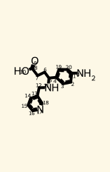 Nc1ccc(C(CCC(=O)O)NCc2cccnc2)cc1